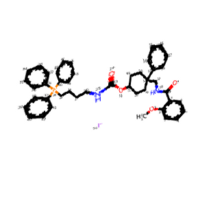 COc1ccccc1C(=O)NCC1(c2ccccc2)CCC(OC(=O)NCCCC[P+](c2ccccc2)(c2ccccc2)c2ccccc2)CC1.[I-]